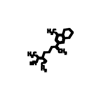 C=C/C(CCCC(=C)c1cc(C)c2c(c1)CCCC2)=C(/C)CCC